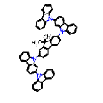 CC1(C)c2cc(-n3c4ccccc4c4ccc(-n5c6ccccc6c6ccccc65)cc43)ccc2-c2ccc(-n3c4ccccc4c4ccc(-n5c6ccccc6c6ccccc65)cc43)cc21